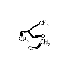 C=CC(C=O)CC.C=CCl